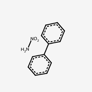 N[N+](=O)[O-].c1ccc(-c2ccccc2)cc1